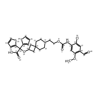 COc1cc(NC(=O)OCCN2CCC3(CC2)CC(OC(C(=O)O)(c2cccs2)c2cccs2)C3)c(Cl)cc1C=O